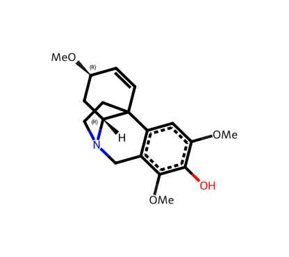 COc1cc2c(c(OC)c1O)CN1CCC23C=C[C@H](OC)C[C@@H]13